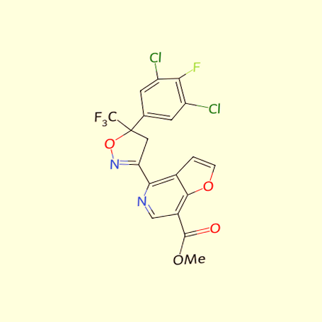 COC(=O)c1cnc(C2=NOC(c3cc(Cl)c(F)c(Cl)c3)(C(F)(F)F)C2)c2ccoc12